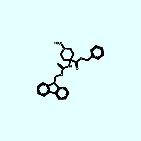 O=C(NC1(C(=O)OCc2ccccc2)CCN(C(=O)O)CC1)OCC1c2ccccc2-c2ccccc21